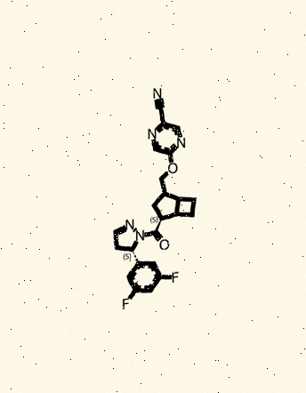 N#Cc1cnc(OCC2C[C@H](C(=O)N3N=CC[C@H]3c3cc(F)cc(F)c3)C3CCC23)cn1